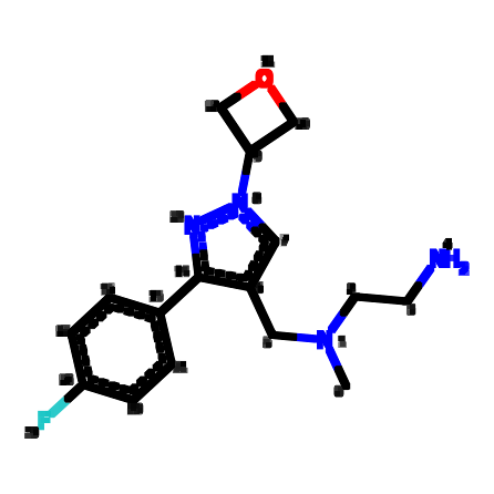 CN(CCN)Cc1cn(C2COC2)nc1-c1ccc(F)cc1